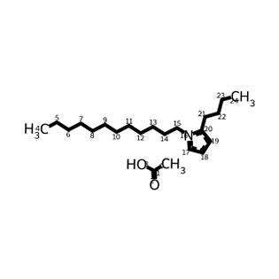 CC(=O)O.CCCCCCCCCCCCn1cccc1CCCC